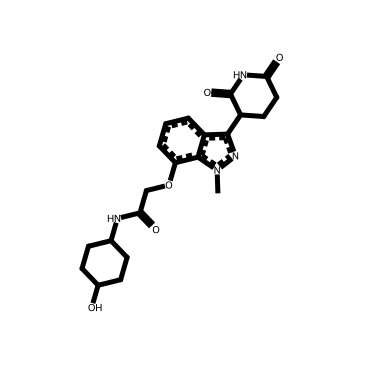 Cn1nc(C2CCC(=O)NC2=O)c2cccc(OCC(=O)NC3CCC(O)CC3)c21